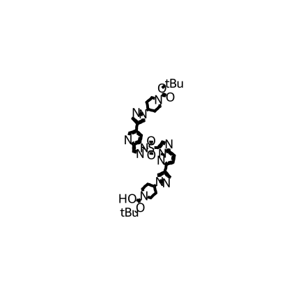 CC(C)(C)OC(=O)N1CCC(n2cc(-c3cnc4cnn(S(=O)(=O)c5cnc6ccc(-c7cnn(C8CCN(C(O)OC(C)(C)C)CC8)c7)nn56)c4c3)cn2)CC1